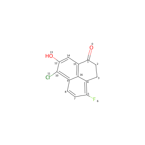 O=C1CCc2c(F)ccc3c(Cl)c(O)cc1c23